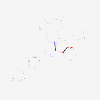 c1ccc(-c2ccc(-c3nc(-c4ccccc4)nc(-c4cccc5cccc(-c6cccc7oc8ccccc8c67)c45)n3)cc2)cc1